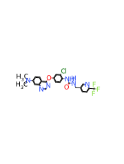 CN(C)c1ccc2c(Oc3ccc(NC(=O)NCc4ccc(C(F)(F)F)nc4)c(Cl)c3)ncnc2c1